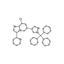 Clc1cc(-c2cnn(C(c3ccccc3)(c3ccccc3)c3ccccc3)c2)cn2c(-c3ccccn3)cnc12